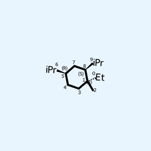 CC[C@]1(C)CC[C@@H](C(C)C)C[C@H]1C(C)C